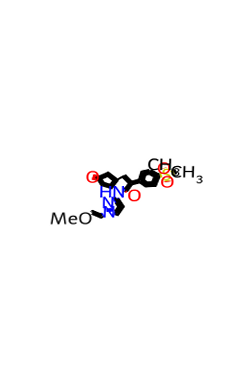 COCCn1ccc(NC(=O)C(C[C@H]2CCC(=O)C2)c2ccc(S(C)(=O)=O)c(C)c2)n1